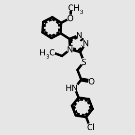 CCn1c(SCC(=O)Nc2ccc(Cl)cc2)nnc1-c1ccccc1OC